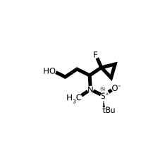 CN(C(CCO)C1(F)CC1)[S@+]([O-])C(C)(C)C